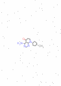 Cc1ccc(-n2ccc(=O)c3c(N)ncnc32)cc1